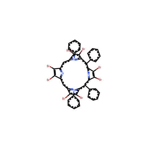 BrC1=C(Br)c2cc3c(Br)c(Br)c(c(-c4ccccc4)c4nc(c(-c5ccccc5)c5c(Br)c(Br)c(cc1n2)n5-c1ccccc1)C(Br)=C4Br)n3-c1ccccc1